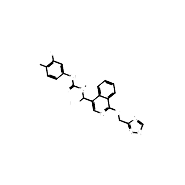 CC(c1cnc(OCc2nc[nH]n2)c2ccccc12)N(C)C(=O)Nc1ccc(F)c(Cl)c1